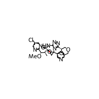 CO[C@H](c1ncc(Cl)cn1)[C@H](C)S(=O)(=O)Nc1nnc([C@H]2COCCO2)n1C1(c2cccnc2)CC1